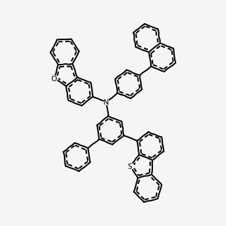 c1ccc(-c2cc(-c3cccc4c3sc3ccccc34)cc(N(c3ccc(-c4cccc5ccccc45)cc3)c3ccc4oc5ccccc5c4c3)c2)cc1